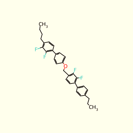 CCCCc1ccc(-c2ccc(OCc3ccc(-c4ccc(CCC)cc4)c(F)c3F)cc2)c(F)c1F